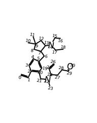 C=Cc1ccc(CC2CC(C)(C)CC2N(CC)CC)cc1CN(C)C(C=C)CCC=O